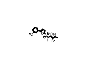 COc1cccc(-c2ccc(S(=O)(=O)Nc3onc(C)c3Br)s2)c1